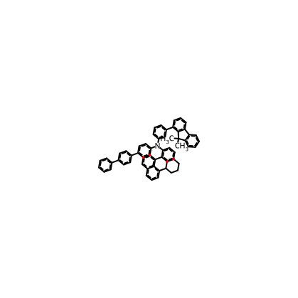 CC1(C)c2ccccc2-c2cccc(-c3cccc(N(c4ccc(-c5ccc(-c6ccccc6)cc5)cc4)c4ccccc4-c4cccc5cccc(C6CCCCC6)c45)c3)c21